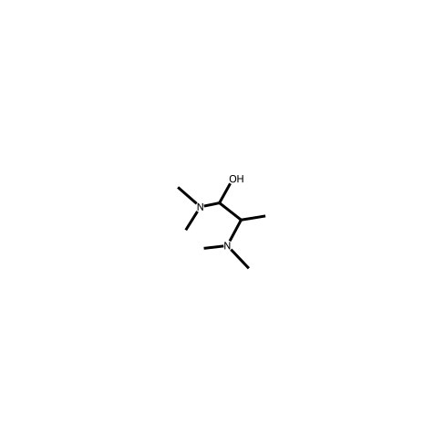 CC(C(O)N(C)C)N(C)C